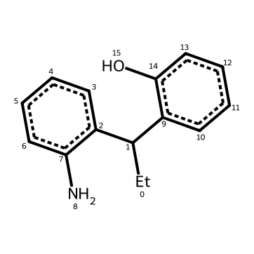 CCC(c1ccccc1N)c1ccccc1O